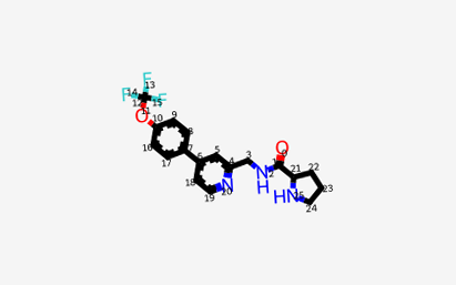 O=C(NCc1cc(-c2ccc(OC(F)(F)F)cc2)ccn1)C1CCCN1